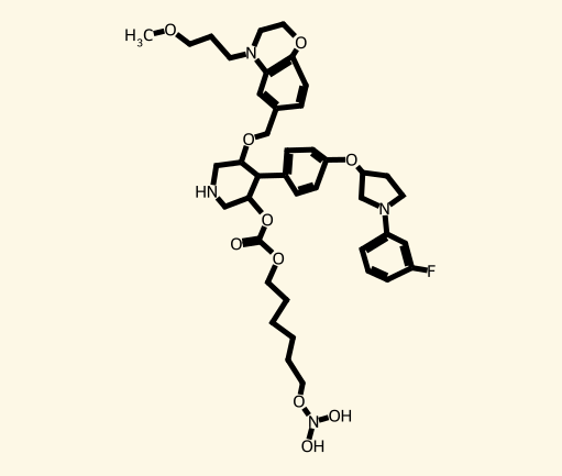 COCCCN1CCOc2ccc(COC3CNCC(OC(=O)OCCCCCCON(O)O)C3c3ccc(OC4CCN(c5cccc(F)c5)C4)cc3)cc21